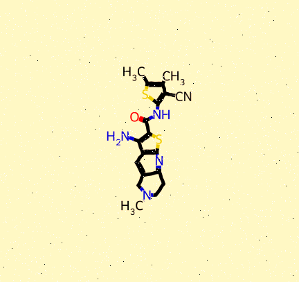 Cc1sc(NC(=O)c2sc3nc4c(cc3c2N)CN(C)CC4)c(C#N)c1C